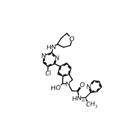 C[C@@H](NC(=O)CN1Cc2ccc(-c3nc(NC4CCOCC4)ncc3Cl)cc2C1O)c1ccccn1